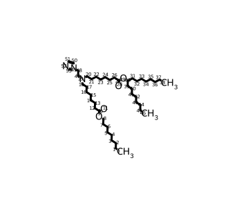 CCCCCCCCCOC(=O)CCCCCCCN(CCCCCCCC(=O)OC(CCCCCCCC)CCCCCCCC)CCn1ccnc1